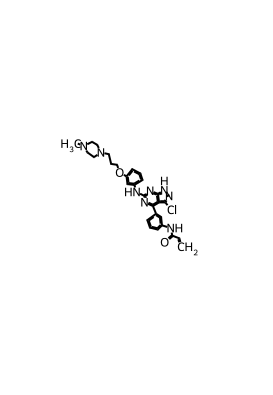 C=CC(=O)Nc1cccc(-c2nc(Nc3cccc(OCCCN4CCN(C)CC4)c3)nc3[nH]nc(Cl)c23)c1